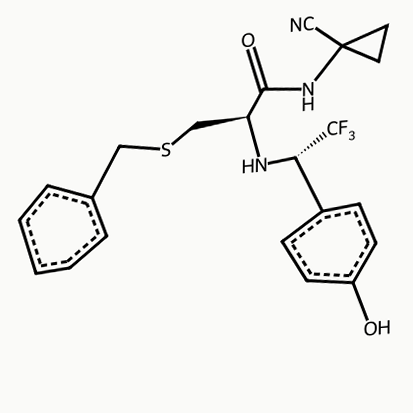 N#CC1(NC(=O)[C@H](CSCc2ccccc2)N[C@@H](c2ccc(O)cc2)C(F)(F)F)CC1